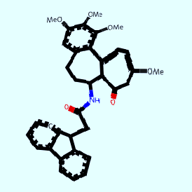 COC1=CC=C2c3c(cc(OC)c(OC)c3OC)CCC(NC(=O)CC3c4ccccc4-c4ccccc43)C2C(=O)C1